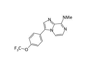 CNc1nccn2c(-c3ccc(OC(F)(F)F)cc3)cnc12